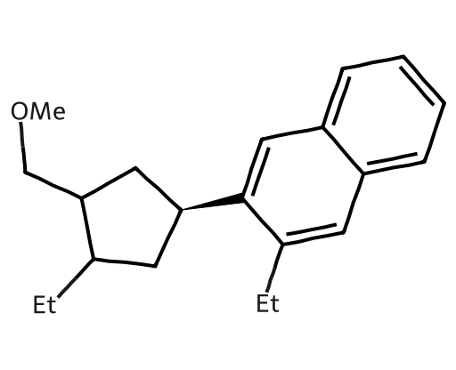 CCc1cc2ccccc2cc1[C@H]1CC(CC)C(COC)C1